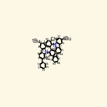 CC(C)(C)c1ccc2c(c1)c1ccc(-c3ccccc3)cc1n2-c1c(C#N)cccc1-c1cccc(C#N)c1-n1c2ccc(C(C)(C)C)cc2c2ccc(-c3ccccc3)cc21